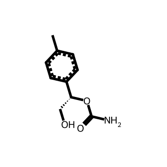 Cc1ccc([C@@H](CO)OC(N)=O)cc1